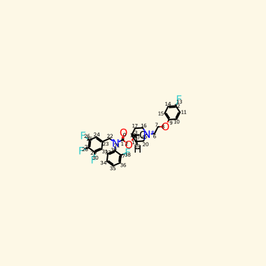 O=C(O[C@H]1C[N+]2(CCOc3ccc(F)cc3)CCC1CC2)N(Cc1cc(F)c(F)c(F)c1)c1ccccc1F